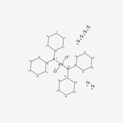 [Cl][Pd]([Cl])([P](C1CCCCC1)C1CCCCC1)[P](C1CCCCC1)C1CCCCC1.[Fe].[Fe].[Fe].[Fe].[Fe].[Fe]